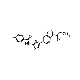 CCC(=O)N1CCc2cc(-c3csc(NC(=O)c4ccc(F)cc4)n3)ccc21